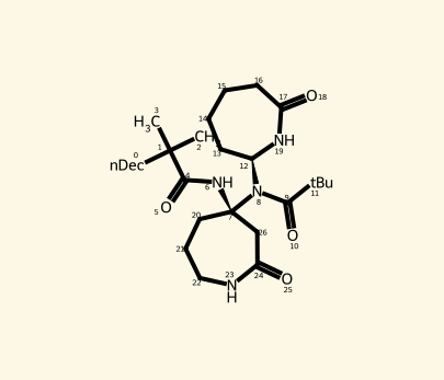 CCCCCCCCCCC(C)(C)C(=O)N[C@]1(N(C(=O)C(C)(C)C)[C@H]2CCCCC(=O)N2)CCCNC(=O)C1